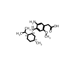 COc1cc(N[C@@H]2C[C@H](C)CC[C@H]2C(C)C)c(N)cc1CC(=O)O